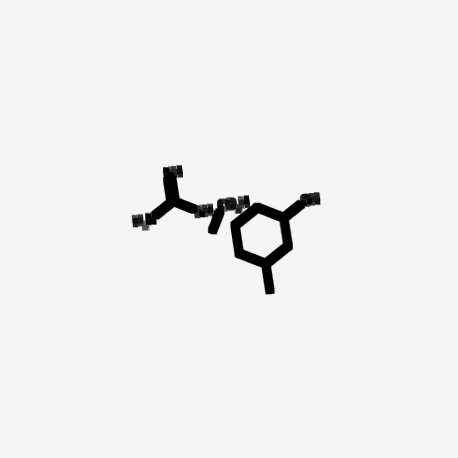 CC(=O)O.CC1CCCC(O)C1.N=C(N)N